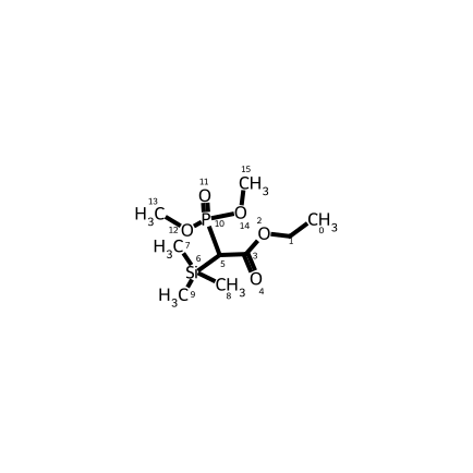 CCOC(=O)C([Si](C)(C)C)P(=O)(OC)OC